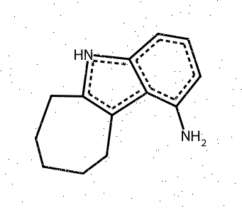 Nc1cccc2[nH]c3c(c12)CCCCC3